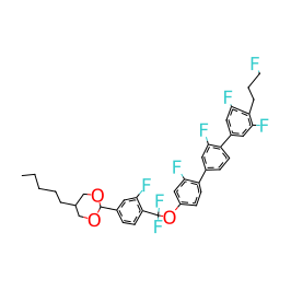 CCCCCC1COC(c2ccc(C(F)(F)Oc3ccc(-c4ccc(-c5cc(F)c(CCCF)c(F)c5)c(F)c4)c(F)c3)c(F)c2)OC1